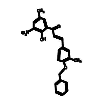 Cc1cc(C(=O)/C=C/c2ccc(OCc3ccccc3)c(C)c2)c(O)c([N+](=O)[O-])c1